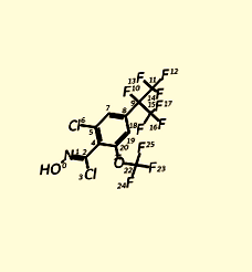 ON=C(Cl)c1c(Cl)cc(C(F)(C(F)(F)F)C(F)(F)F)cc1OC(F)(F)F